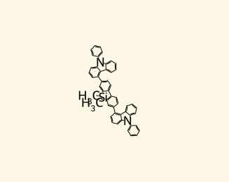 C[Si]1(C)c2cc(-c3cccc4c3c3ccccc3n4-c3ccccc3)ccc2-c2ccc(-c3cccc4c3c3ccccc3n4-c3ccccc3)cc21